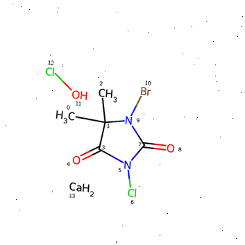 CC1(C)C(=O)N(Cl)C(=O)N1Br.OCl.[CaH2]